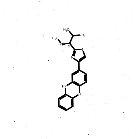 CN[C@H](c1nc(-c2ccc3c(c2)Nc2ccccc2O3)cs1)C(C)C